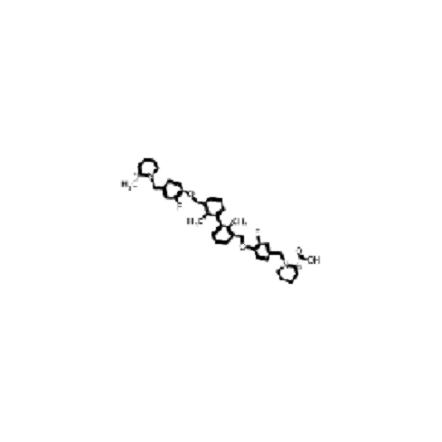 Cc1c(COc2ccc(CN3CCCC[C@H]3C)cc2F)cccc1-c1cccc(COc2ccc(CN3CCCC[C@H]3C(=O)O)cc2F)c1C